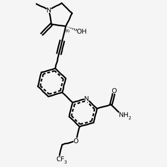 C=C1N(C)CC[C@@]1(O)C#Cc1cccc(-c2cc(OCC(F)(F)F)cc(C(N)=O)n2)c1